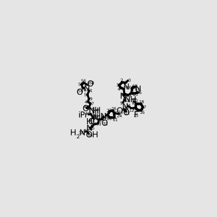 Cc1cccc(-c2nc(CN(CCc3c(F)cccc3F)C(=O)OCc3ccc(NC(=O)C(CCCNC(N)O)NC(=O)C(NC(=O)CCCCCN4C(=O)C=CC4=O)C(C)C)cc3)[nH]c2-c2ccncc2)n1